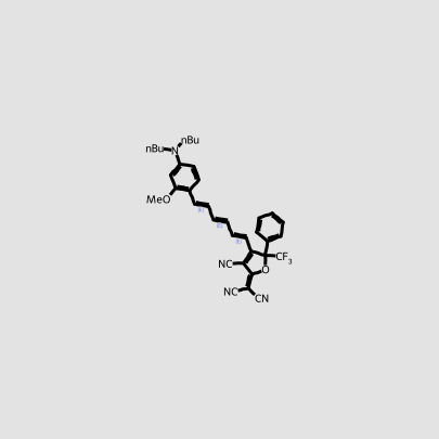 CCCCN(CCCC)c1ccc(/C=C/C=C/C=C/C2=C(C#N)C(=C(C#N)C#N)OC2(c2ccccc2)C(F)(F)F)c(OC)c1